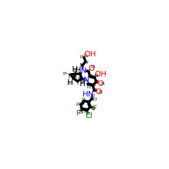 C[C@H]1[C@H]2C[C@@H]3[C@H]([C@@H]12)N(CCCO)C(=O)c1c(O)c(=O)c(C(=O)NCc2ccc(F)c(Cl)c2F)cn13